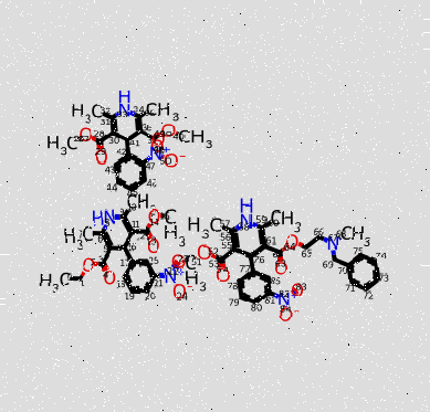 CCOC(=O)C1=C(C)NC(C)=C(C(=O)OC)C1c1cccc([N+](=O)[O-])c1.COC(=O)C1=C(C)NC(C)=C(C(=O)OC)C1c1ccccc1[N+](=O)[O-].COC(=O)C1=C(C)NC(C)=C(C(=O)OCCN(C)Cc2ccccc2)C1c1cccc([N+](=O)[O-])c1